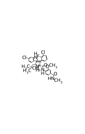 CNC(=O)c1ccc(NC(=O)[C@@H]2NC(CC(C)(C)C)[C@@]3(CNc4cc(Cl)ccc43)[C@H]2c2cccc(Cl)c2F)c(OC)c1